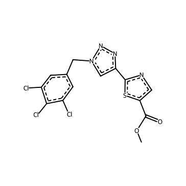 COC(=O)c1cnc(-c2cn(Cc3cc(Cl)c(Cl)c(Cl)c3)nn2)s1